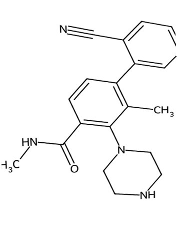 CNC(=O)c1ccc(-c2ccccc2C#N)c(C)c1N1CCNCC1